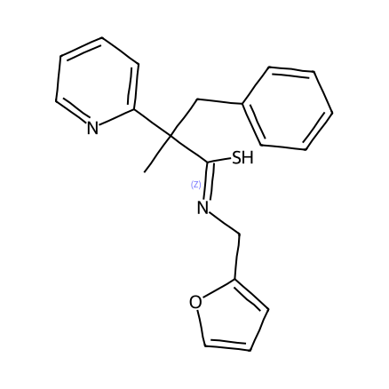 CC(Cc1ccccc1)(/C(S)=N/Cc1ccco1)c1ccccn1